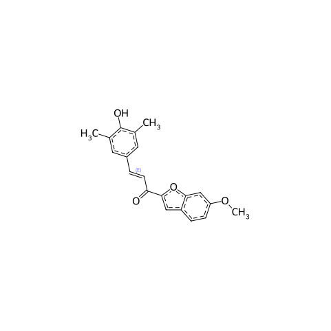 COc1ccc2cc(C(=O)/C=C/c3cc(C)c(O)c(C)c3)oc2c1